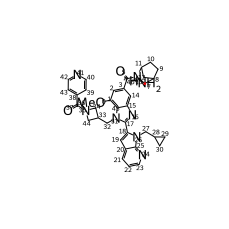 COc1cc(C(=O)N2CC3CCC2[C@@H]3N)cc2nc(-c3cc4cccnc4n3CC3CC3)n(CC3CN(C(=O)c4ccncc4)C3)c12